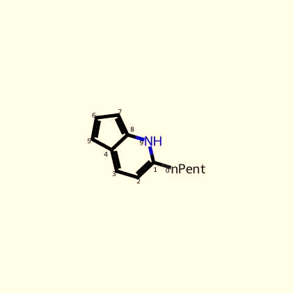 CCCCCc1ccc2cccc-2[nH]1